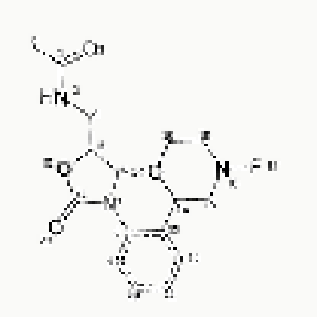 CC(=O)NCC1CN(c2ccccc2C2CN(F)CCO2)C(=O)O1